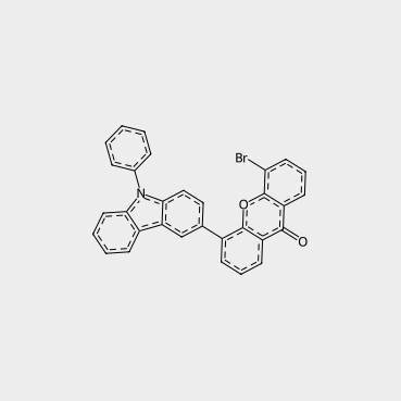 O=c1c2cccc(Br)c2oc2c(-c3ccc4c(c3)c3ccccc3n4-c3ccccc3)cccc12